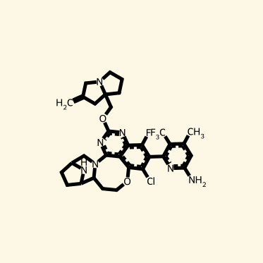 C=C1CN2CCCC2(COc2nc3c4c(c(Cl)c(-c5nc(N)cc(C)c5C(F)(F)F)c(F)c4n2)OCCC2C4CCC(CN32)N4)C1